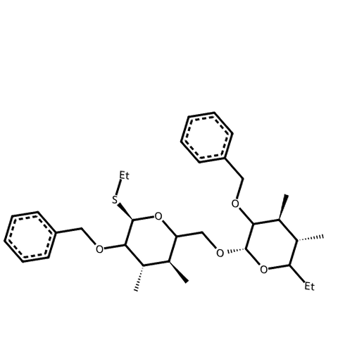 CCS[C@H]1OC(CO[C@H]2OC(CC)[C@@H](C)[C@H](C)C2OCc2ccccc2)[C@@H](C)[C@H](C)C1OCc1ccccc1